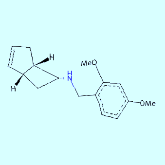 COc1ccc(CN[C@@H]2C[C@@H]3C=CC[C@@H]32)c(OC)c1